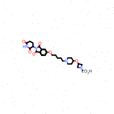 O=C1CCC(N2C(=O)c3ccc(OCCCCCN4CCC(OC5CN(C(=O)O)C5)CC4)cc3C2=O)C(=O)N1